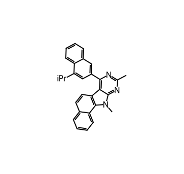 Cc1nc(-c2cc(C(C)C)c3ccccc3c2)c2c3ccc4ccccc4c3n(C)c2n1